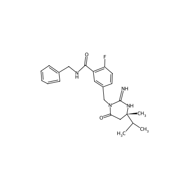 CC(C)[C@]1(C)CC(=O)N(Cc2ccc(F)c(C(=O)NCc3ccccc3)c2)C(=N)N1